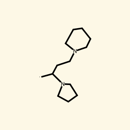 [CH2]C(CCN1CCCCC1)N1CCCC1